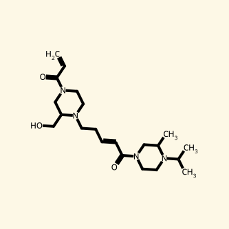 C=CC(=O)N1CCN(CC/C=C/C(=O)N2CCN(C(C)C)C(C)C2)C(CO)C1